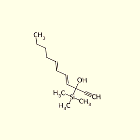 C#CC(O)(C=CC=CCCCC)[Si](C)(C)C